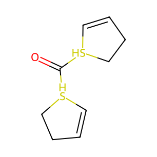 O=C([SH]1C=CCC1)[SH]1C=CCC1